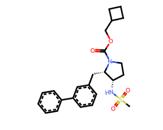 CS(=O)(=O)N[C@H]1CCN(C(=O)OCC2CCC2)[C@H]1Cc1cccc(-c2ccccc2)c1